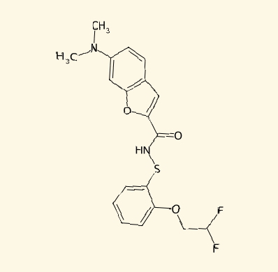 CN(C)c1ccc2cc(C(=O)NSc3ccccc3OCC(F)F)oc2c1